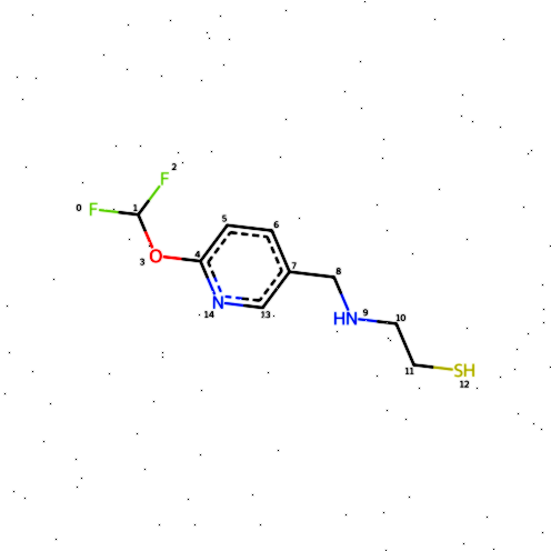 FC(F)Oc1ccc(CNCCS)cn1